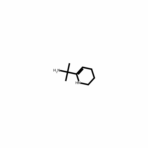 CC(C)(N)C1=CCCCN1